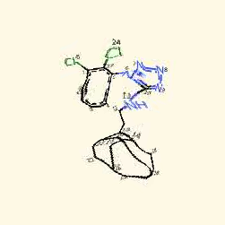 Clc1cccc(-n2nnnc2NCC2C3CC4CC(C3)CC2C4)c1Cl